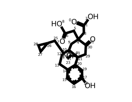 O=C(O)CC1(CC(=O)O)CC2(O)C3Cc4ccc(O)cc4[C@@]2(CCN3CC2CC2)CC1=O